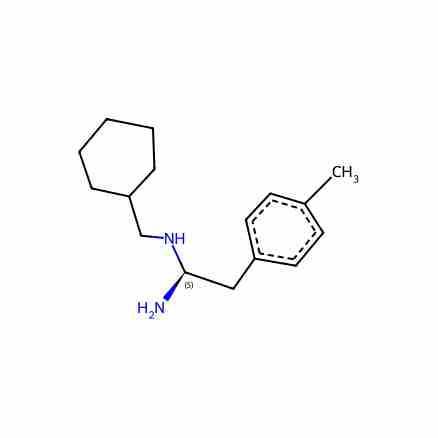 Cc1ccc(C[C@@H](N)NCC2CCCCC2)cc1